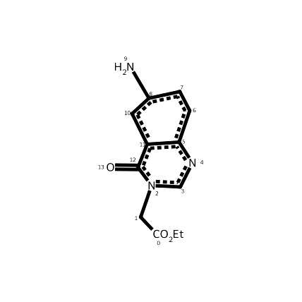 CCOC(=O)Cn1cnc2ccc(N)cc2c1=O